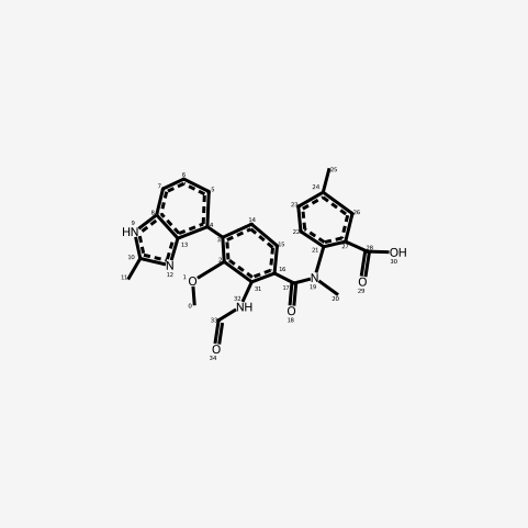 COc1c(-c2cccc3[nH]c(C)nc23)ccc(C(=O)N(C)c2ccc(C)cc2C(=O)O)c1NC=O